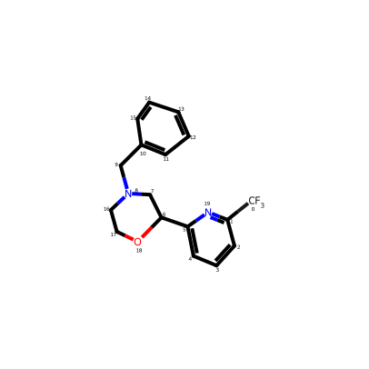 FC(F)(F)c1cccc(C2CN(Cc3ccccc3)CCO2)n1